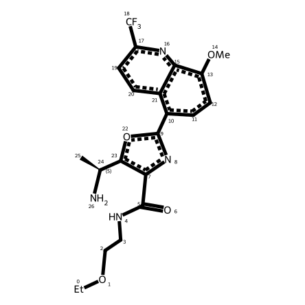 CCOCCNC(=O)c1nc(-c2ccc(OC)c3nc(C(F)(F)F)ccc23)oc1[C@H](C)N